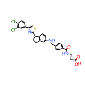 O=C(O)CCNC(=O)c1ccc(CNc2ccc3c(c2)CCC3c2nc(-c3ccc(Cl)c(Cl)c3)cs2)cc1